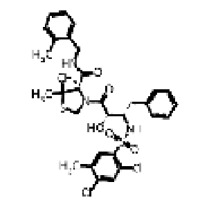 Cc1cc(S(=O)(=O)N[C@@H](Cc2ccccc2)[C@H](O)C(=O)N2CSC(C)(C)[C@H]2C(=O)NCc2ccccc2C)c(Cl)cc1Cl